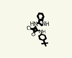 CC(C)(C)C1CCC(Nc2c(Nc3c[nH]c4ccccc34)c(=O)c2=O)CC1